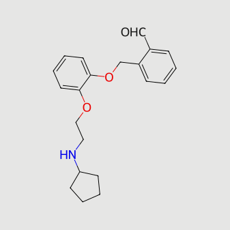 O=Cc1ccccc1COc1ccccc1OCCNC1CCCC1